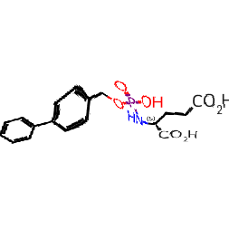 O=C(O)CC[C@H](NP(=O)(O)OCc1ccc(-c2ccccc2)cc1)C(=O)O